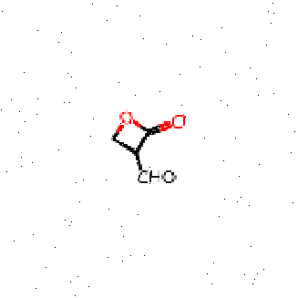 O=CC1COC1=O